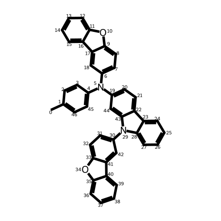 Cc1ccc(N(c2ccc3oc4ccccc4c3c2)c2ccc3c4ccccc4n(-c4ccc5oc6ccccc6c5c4)c3c2)cc1